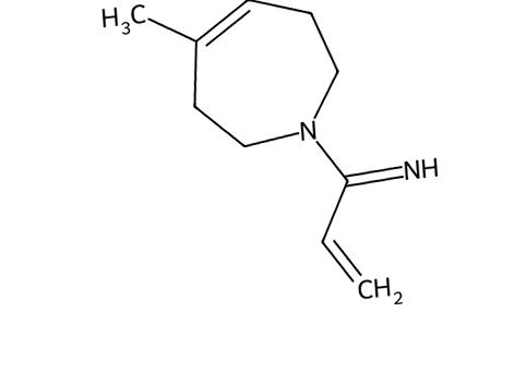 C=CC(=N)N1CCC=C(C)CC1